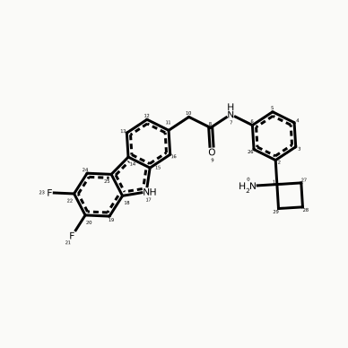 NC1(c2cccc(NC(=O)Cc3ccc4c(c3)[nH]c3cc(F)c(F)cc34)c2)CCC1